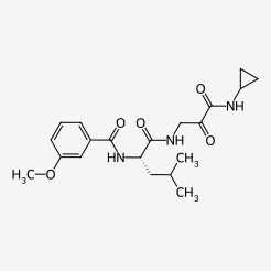 COc1cccc(C(=O)N[C@@H](CC(C)C)C(=O)NCC(=O)C(=O)NC2CC2)c1